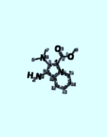 COC(=O)c1c(N(C)C)c(N)c2ccccn12